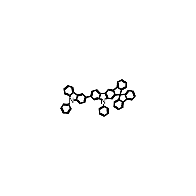 c1ccc(-n2c3ccccc3c3cc(-c4ccc5c6cc7c(cc6n(-c6ccccc6)c5c4)C4(c5ccccc5-c5ccccc54)c4ccccc4-7)ccc32)cc1